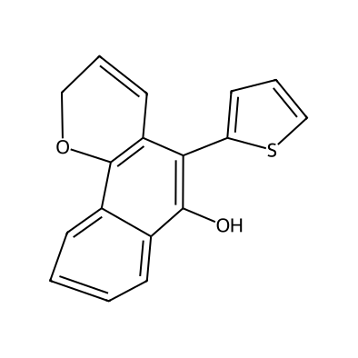 Oc1c(-c2cccs2)c2c(c3ccccc13)OCC=C2